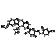 N#Cc1ccc(COc2nc(N3C=NN(Cc4nc5ccc(C(=O)O)cc5n4C[C@@H]4CCO4)CC3)c(F)cc2F)c(F)c1